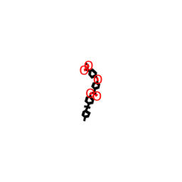 COC(=O)c1ccc(Oc2ccc(C(=O)Oc3ccc(C(C)(C)c4ccc(C)cc4)cc3)cc2)cc1